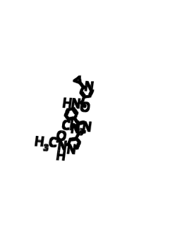 CC(=O)Nc1cc(-c2cncc(-c3cc(NC(=O)c4ccnc(C5CC5)c4)ccc3C)n2)ccn1